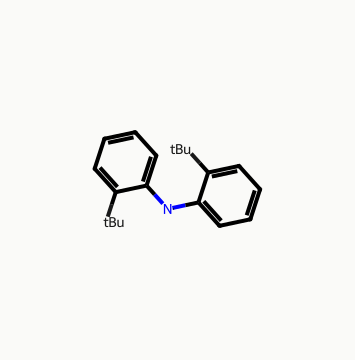 CC(C)(C)c1ccccc1[N]c1ccccc1C(C)(C)C